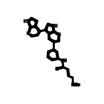 CNCC=CC(=O)Nc1cccc(-c2cnc3[nH]cc(-c4ccnc5[nH]ccc45)c3c2)c1